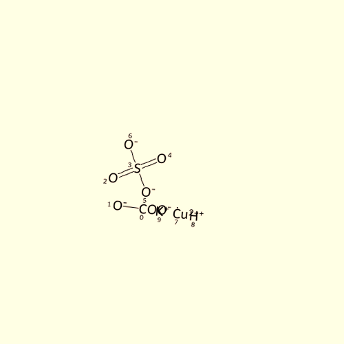 O=C([O-])[O-].O=S(=O)([O-])[O-].[Cu+2].[H+].[K+]